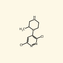 CC1CNCCN1c1cc(Cl)nnc1Cl